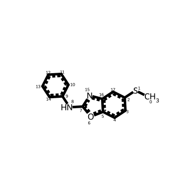 CSc1ccc2oc(Nc3ccccc3)nc2c1